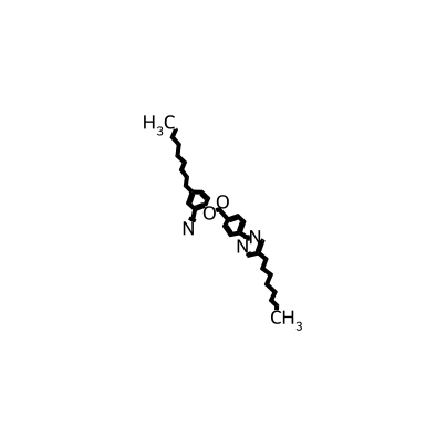 CCCCCCCCCc1ccc(OC(=O)c2ccc(-c3ncc(CCCCCCCC)cn3)cc2)c(C#N)c1